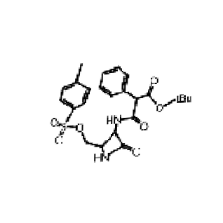 Cc1ccc(S(=O)(=O)OCC2NC(=O)C2NC(=O)C(C(=O)OC(C)(C)C)c2ccccc2)cc1